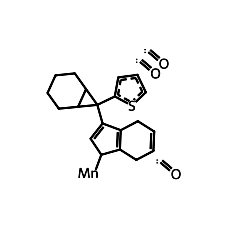 [C]=O.[C]=O.[C]=O.[Mn][CH]1C=C(C2(c3cccs3)C3CCCCC32)C2=C1CC=CC2